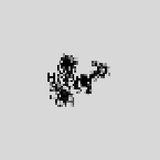 CSc1c2sc(C3=C(C(=O)O)N4C(=O)[C@H]([C@@H](C)O)[C@H]4[C@H]3C)c[n+]2cn1CCc1cccc[n+]1C.O=S(=O)([O-])C(F)(F)F.[I-]